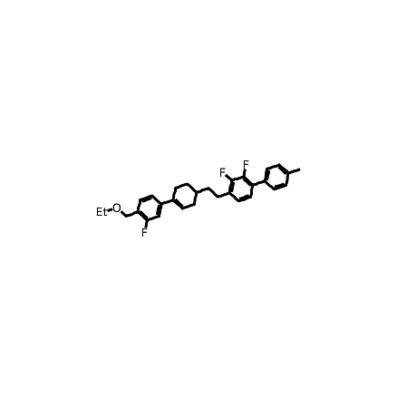 CCOCc1ccc(C2=CCC(CCc3ccc(-c4ccc(C)cc4)c(F)c3F)CC2)cc1F